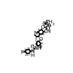 CCC(Oc1cc2nccc(Oc3ccc(NC(=O)Nc4ccc(F)cc4)c(F)c3)c2cc1C#N)S(C)(=O)=O